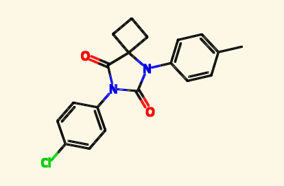 Cc1ccc(N2C(=O)N(c3ccc(Cl)cc3)C(=O)C23CCC3)cc1